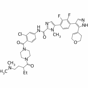 CCC(CCN(C)C)C(=O)N1CCN(C(=O)c2ccc(NC(=O)c3ncc(-c4ccc(-c5cn[nH]c5C5=CCOCC5)c(F)c4F)n3C)cc2Cl)CC1